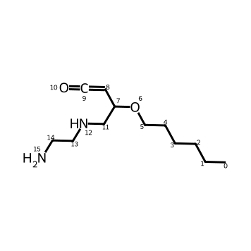 CCCCCCOC(C=C=O)CNCCN